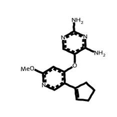 COc1cc(Oc2cnc(N)nc2N)c(C2=CCCC2)cn1